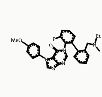 CCN(C)Cc1ccccc1-c1cccc(F)c1-n1cnc2ncn(-c3ccc(OC)cc3)c2c1=O